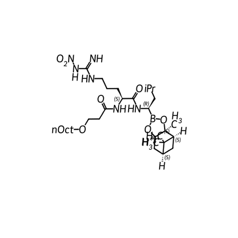 CCCCCCCCOCCC(=O)N[C@@H](CCCNC(=N)N[N+](=O)[O-])C(=O)N[C@@H](CC(C)C)B1O[C@@H]2C[C@@H]3C[C@@H](C3(C)C)[C@]2(C)O1